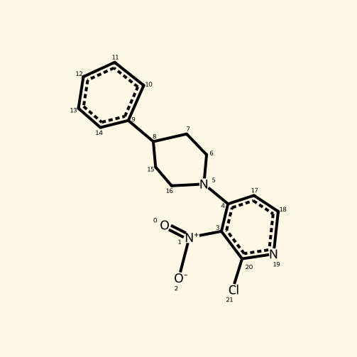 O=[N+]([O-])c1c(N2CCC(c3ccccc3)CC2)ccnc1Cl